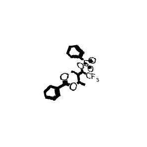 CC(OC(=O)c1ccccc1)C(C)C(OS(=O)(=O)c1ccccc1)C(F)(F)F